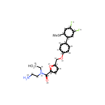 CSc1cc(F)c(F)cc1-c1ccc(OCc2ccc(C(=O)N(CCN)CC(=O)O)o2)cc1